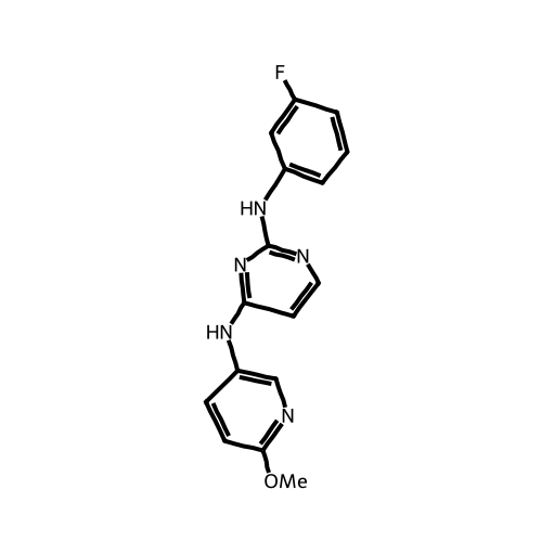 COc1ccc(Nc2ccnc(Nc3cccc(F)c3)n2)cn1